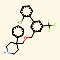 FC(F)(F)c1cc(COCC2(c3ccccc3)CCNCC2)cc(-c2ccccc2Cl)c1